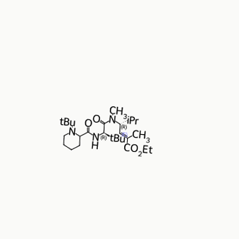 CCOC(=O)/C(C)=C/[C@@H](C(C)C)N(C)C(=O)[C@H](NC(=O)C1CCCCN1C(C)(C)C)C(C)(C)C